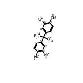 [C-]#[N+]c1ccc(C(c2ccc(C#N)c(C#N)c2)(C(F)(F)F)C(F)(F)F)cc1[N+]#[C-]